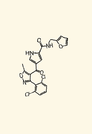 Cc1onc(-c2c(Cl)cccc2Cl)c1C(=O)c1c[nH]c(C(=O)NCc2ccco2)c1